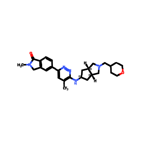 CN1Cc2cc(-c3cc(C(F)(F)F)c(N[C@H]4C[C@@H]5CN(CC6CCOCC6)C[C@@H]5C4)nn3)ccc2C1=O